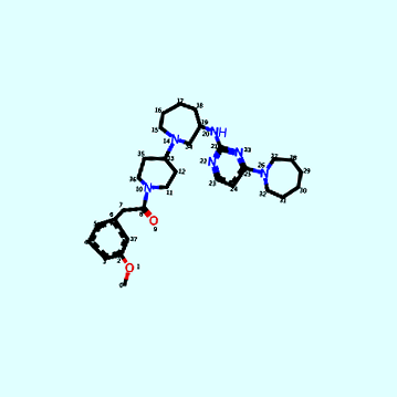 COc1cccc(CC(=O)N2CCC(N3CCCCC(Nc4nccc(N5CCCCCC5)n4)C3)CC2)c1